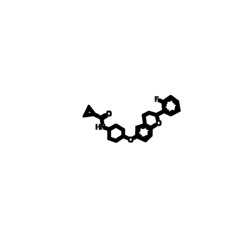 O=C(NC1CCC(Oc2ccc3c(c2)CCC(c2ccccc2F)O3)CC1)C1CC1